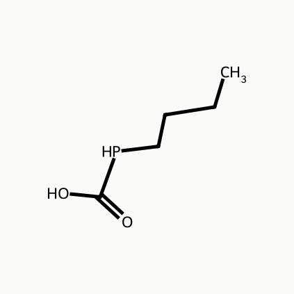 CCCCPC(=O)O